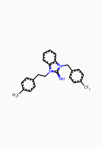 Cc1ccc(CCn2c(=N)n(Cc3ccc(C(F)(F)F)cc3)c3ccccc32)cc1